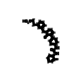 Cc1ccccc1NC(=O)Nc1ccc(-c2cccn(Cc3cccc(CCC(=O)O)c3)c2=O)cc1